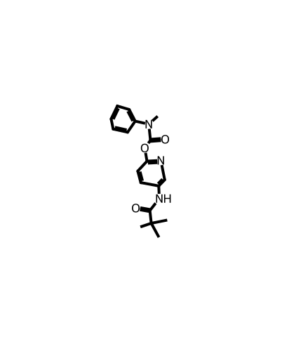 CN(C(=O)Oc1ccc(NC(=O)C(C)(C)C)cn1)c1ccccc1